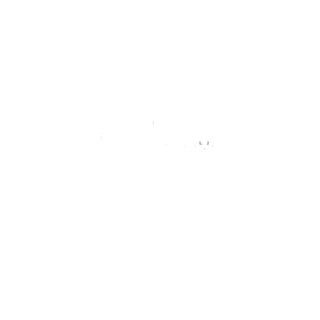 COC(=O)c1ccccc1OI